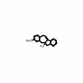 COc1ccc2c(c1)CC1(C)Cc3ccccc3C1=CC2